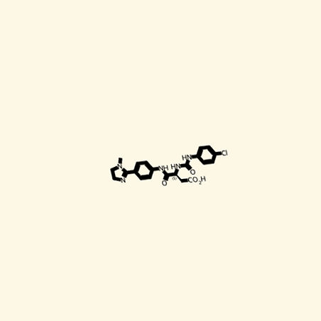 CN1CCN=C1c1ccc(NC(=O)[C@H](CC(=O)O)NC(=O)Nc2ccc(Cl)cc2)cc1